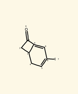 O=C1CC2CC=C(I)C=C12